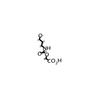 [O]CCCNC(=O)OCC(=O)O